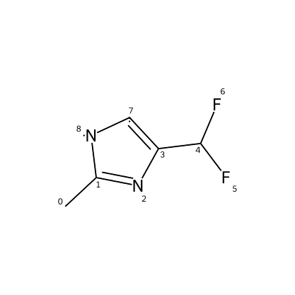 CC1=NC(C(F)F)=[C][N]1